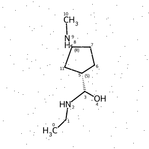 CCNC(O)[C@H]1CC[C@@H](NC)C1